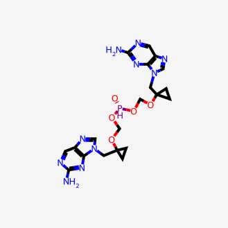 Nc1ncc2ncn(CC3(OCO[PH](=O)OCOC4(Cn5cnc6cnc(N)nc65)CC4)CC3)c2n1